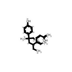 C=C(O)/C=C\C(=C/C)C(CC)CC(C)(CC)c1ccc(O)cc1